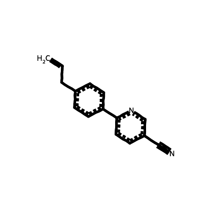 C=CCc1ccc(-c2ccc(C#N)cn2)cc1